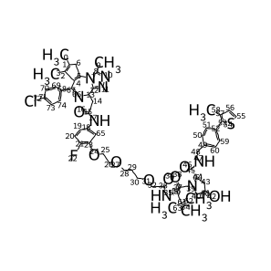 CC1=C(C)C2=C(C1)n1c(C)nnc1C(CC(=O)Nc1ccc(F)c(OCCOCCCOCC(=O)N[C@H](C(=O)N3C[C@H](O)C[C@H]3C(=O)NCc3ccc(-c4sccc4C)cc3)C(C)(C)C)c1)N=C2c1ccc(Cl)cc1